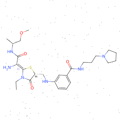 CCN1C(=O)[C@@H](CNc2cccc(C(=O)NCCCN3CCCC3)c2)S/C1=C(/N)C(=O)NC(C)COC